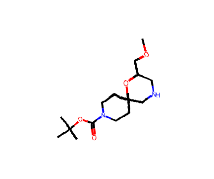 COCC1CNCC2(CCN(C(=O)OC(C)(C)C)CC2)O1